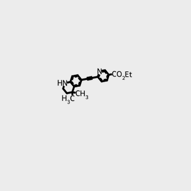 CCOC(=O)c1ccc(C#Cc2ccc3c(c2)C(C)(C)CCN3)nc1